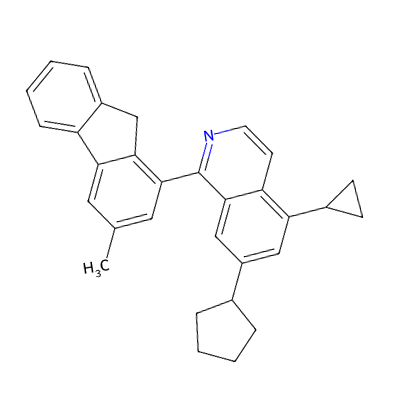 Cc1cc2c(c(-c3nccc4c(C5CC5)cc(C5CCCC5)cc34)c1)Cc1ccccc1-2